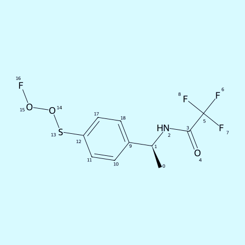 C[C@H](NC(=O)C(F)(F)F)c1ccc(SOOF)cc1